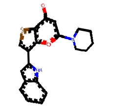 O=c1cc(N2CCCCC2)oc2c(-c3cc4ccccc4[nH]3)csc12